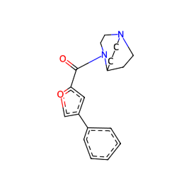 O=C(c1cc(-c2ccccc2)co1)N1CCN2CCC1CC2